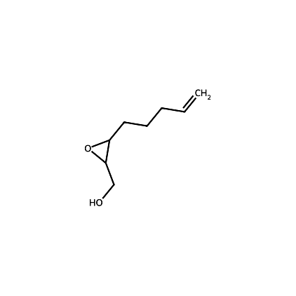 C=CCCCC1OC1CO